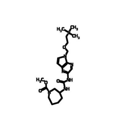 COC(=O)N1CCCCC(NC(=O)Nc2cnc3c(ccn3COCC[Si](C)(C)C)n2)C1